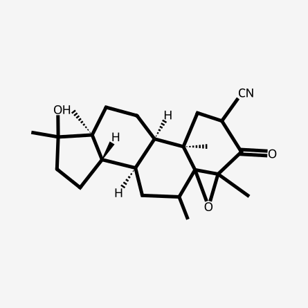 CC1C[C@@H]2[C@@H](CC[C@@]3(C)[C@H]2CCC3(C)O)[C@@]2(C)CC(C#N)C(=O)C3(C)OC132